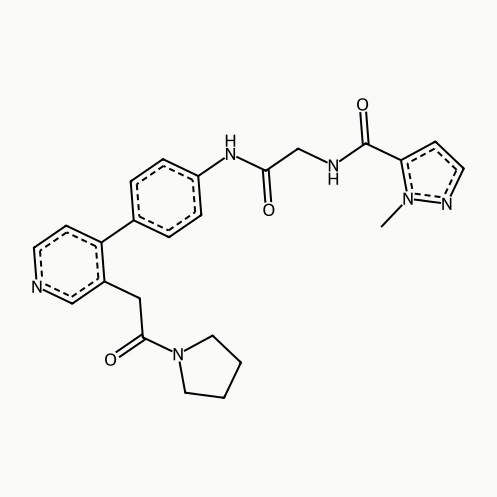 Cn1nccc1C(=O)NCC(=O)Nc1ccc(-c2ccncc2CC(=O)N2CCCC2)cc1